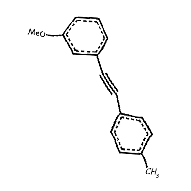 COc1cccc(C#Cc2ccc(C)cc2)c1